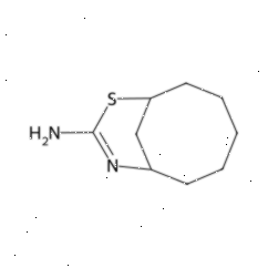 NC1=NC2CCCCCC(C2)S1